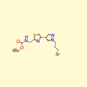 CC(C)(C)OC(=O)NCc1nc(-c2cnn(CCCBr)c2)cs1